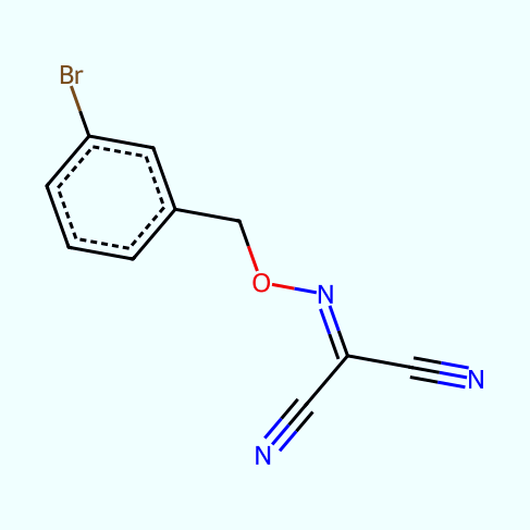 N#CC(C#N)=NOCc1cccc(Br)c1